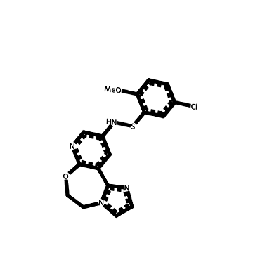 COc1ccc(Cl)cc1SNc1cnc2c(c1)-c1nccn1CCO2